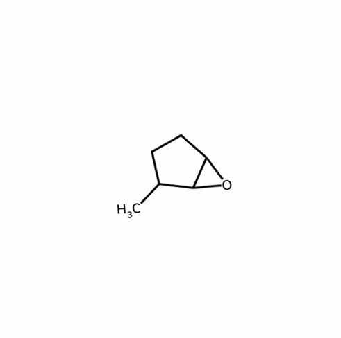 CC1CCC2OC12